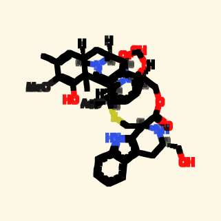 COC1=C(O)C2(C)C3[C@@H]4[C@@H]5SC[C@]6(N[C@H](CO)Cc7c6[nH]c6ccccc76)C(=O)OC[C@@H](c6c7c(c(C)c(OC(C)=O)c65)OCO7)N4[C@@H](O)[C@H](C[C@@H]2C=C1C)N3C